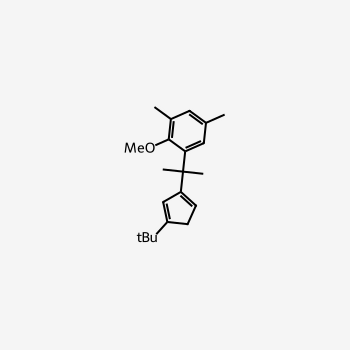 COc1c(C)cc(C)cc1C(C)(C)C1=CCC(C(C)(C)C)=C1